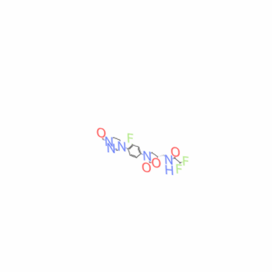 O=CN1CCN(c2ccc(N3C[C@H](CNC(=O)C(F)F)OC3=O)cc2F)C=N1